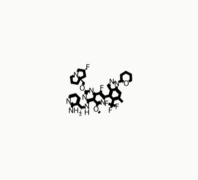 COc1nc(-c2c(C(F)(F)F)c(C)cc3c2cnn3C2CCCCO2)c(F)c2nc(OC[C@@]34CCCN3C[C@H](F)C4)nc(N[C@H](C)c3cccnc3N)c12